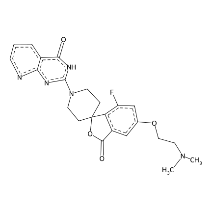 CN(C)CCOc1cc(F)c2c(c1)C(=O)OC21CCN(c2nc3ncccc3c(=O)[nH]2)CC1